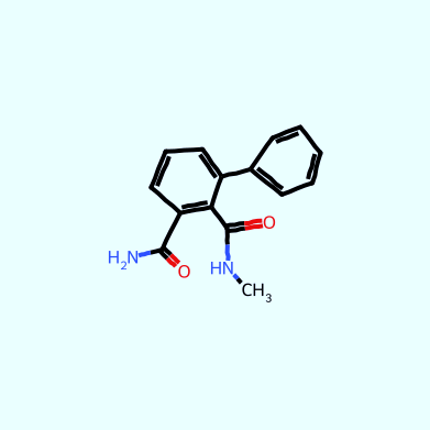 CNC(=O)c1c(C(N)=O)cccc1-c1ccccc1